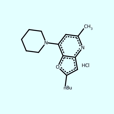 CCCCc1cc2nc(C)cc(N3CCCCC3)c2o1.Cl